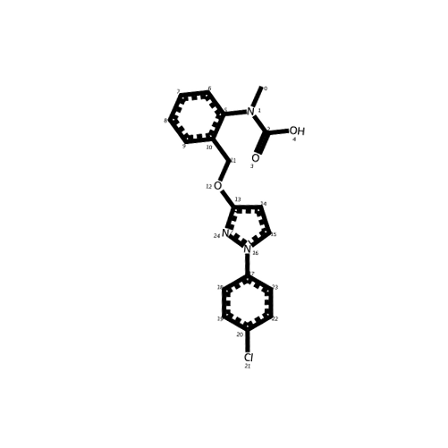 CN(C(=O)O)c1ccccc1COc1ccn(-c2ccc(Cl)cc2)n1